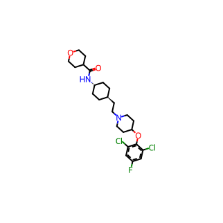 O=C(N[C@H]1CC[C@H](CCN2CCC(Oc3c(Cl)cc(F)cc3Cl)CC2)CC1)C1CCOCC1